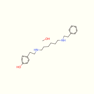 CO.Oc1ccc(CCNCCCCCCNCCc2ccccc2)cc1